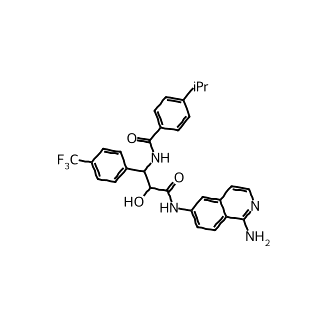 CC(C)c1ccc(C(=O)NC(c2ccc(C(F)(F)F)cc2)C(O)C(=O)Nc2ccc3c(N)nccc3c2)cc1